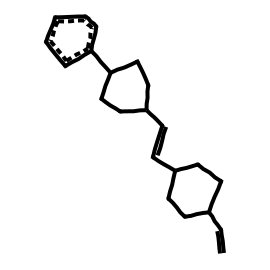 C=CC1CCC(/C=C/C2CCC(c3ccccc3)CC2)CC1